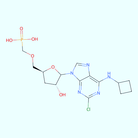 O=P(O)(O)COC[C@@H]1C[C@@H](O)C(n2cnc3c(NC4CCC4)nc(Cl)nc32)O1